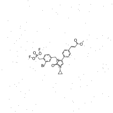 COC(=O)C=Cc1ccc(-c2cn(C3CC3)c(=O)n2Cc2ccc(CP(=O)(OF)OF)c(Br)c2)cc1